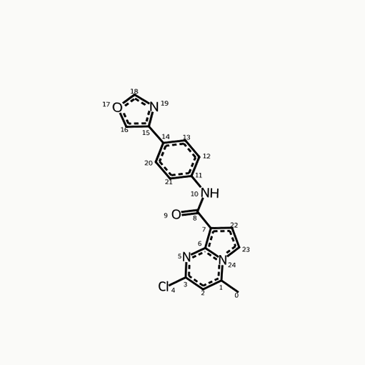 Cc1cc(Cl)nc2c(C(=O)Nc3ccc(-c4cocn4)cc3)ccn12